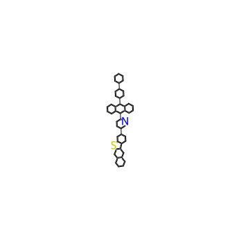 c1ccc(-c2ccc(-c3c4ccccc4c(-c4ccc(-c5ccc6c(c5)sc5cc7ccccc7cc56)cn4)c4ccccc34)cc2)cc1